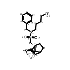 CC1(C)C2CC[C@]1(CS(=O)(=O)N(CCCCC(F)(F)F)Cc1ccccc1)C(=O)C2